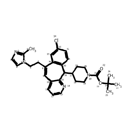 Cc1nccn1CCC1=Cc2cccnc2C(C2CCN(C(=O)OC(C)(C)C)CC2)c2ccc(Cl)cc21